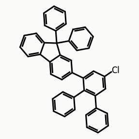 Clc1cc(-c2ccccc2)c(-c2ccccc2)c(-c2ccc3c(c2)C(c2ccccc2)(c2ccccc2)c2ccccc2-3)c1